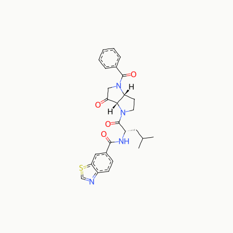 CC(C)C[C@H](NC(=O)c1ccc2ncsc2c1)C(=O)N1CC[C@@H]2[C@H]1C(=O)CN2C(=O)c1ccccc1